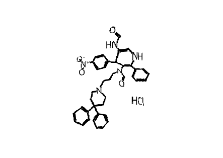 Cl.O=CNC1=CNC(c2ccccc2)=C(N(C=O)CCCN2CCC(c3ccccc3)(c3ccccc3)CC2)C1c1ccc([N+](=O)[O-])cc1